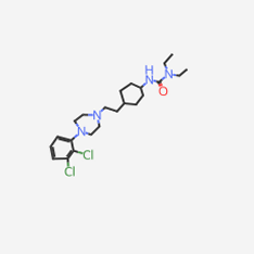 CCN(CC)C(=O)NC1CCC(CCN2CCN(c3cccc(Cl)c3Cl)CC2)CC1